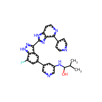 CC(C)C(O)Nc1cncc(-c2cc(F)c3[nH]nc(-c4nc5c(-c6ccncc6)nccc5[nH]4)c3c2)c1